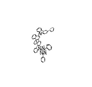 c1ccc(-c2ccc3c(c2)c2ccccc2n3-c2cc3c4ccc5c(c6ccccc6n5-c5nc(-c6ccccc6)nc(-c6ccccc6)n5)c4oc3c3ccccc23)cc1